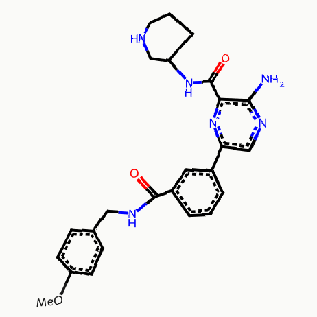 COc1ccc(CNC(=O)c2cccc(-c3cnc(N)c(C(=O)NC4CCCNC4)n3)c2)cc1